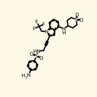 Nc1ccc(S(=O)(=O)NCC#Cc2cc3c(NC4CCS(=O)(=O)CC4)cccc3n2CC(F)(F)F)cc1